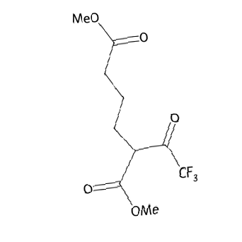 COC(=O)CCCC(C(=O)OC)C(=O)C(F)(F)F